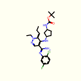 CC/C=C1C(N[C@@H]2CC[C@H](NC(=O)OC(C)(C)C)C2)=C(/C(N)=N/c2cc(F)ccc2Cl)C=NN/1CC